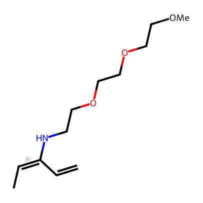 C=C/C(=C\C)NCCOCCOCCOC